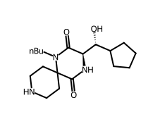 CCCCN1C(=O)[C@@H]([C@H](O)C2CCCC2)NC(=O)C12CCNCC2